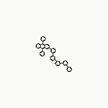 c1ccc(-c2cccc(-c3ccc4sc5ccc(-c6cccc(-c7ccc8c(-c9ccccc9)c9ccccc9c(-c9ccccc9)c8c7)c6)cc5c4c3)c2)cc1